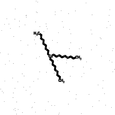 CCCCCCCC[CH2][Ga]([CH2]CCCCCCCC)[CH2]CCCCCCCC